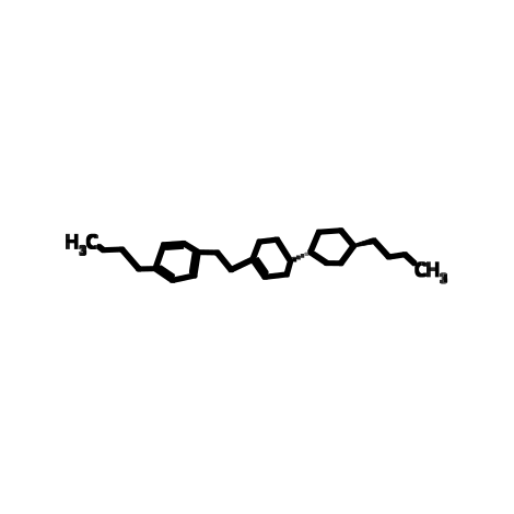 CCCCc1ccc(CCC2=CCC([C@H]3CC[C@H](CCCC)CC3)CC2)cc1